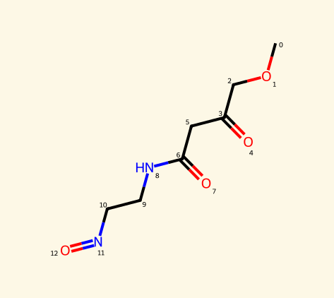 COCC(=O)CC(=O)NCCN=O